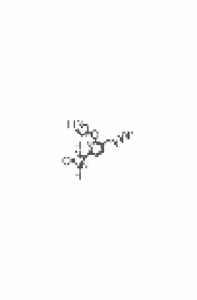 [N-]=[N+]=NCc1ccc(-c2n[nH]c(=O)[nH]2)nc1O[C@H]1CCNC1